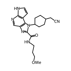 COCCCNC(=O)c1nc2cnc3[nH]ccc3c2n1C1CCC(CC#N)CC1